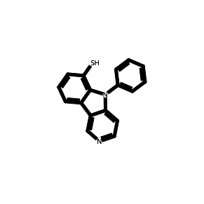 Sc1cccc2c3cnccc3n(-c3ccccc3)c12